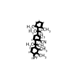 Cc1cccc(C)c1C(C)(C)c1ccc(C(C)(C)c2ccc(C(C)C)c(C)c2C)c(C#N)c1